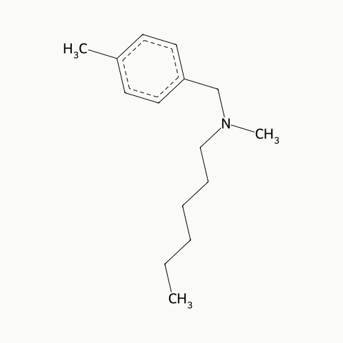 CCCCCCN(C)Cc1ccc(C)cc1